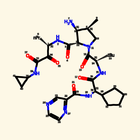 CCC[C@H](NC(=O)[C@@H]1[C@@H](N)[C@@H](C)CN1C(=O)[C@@H](NC(=O)[C@@H](NC(=O)c1cnccn1)C1CCCC1)C(C)(C)C)C(=O)C(=O)NC1CC1